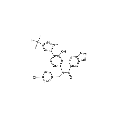 Cn1nc(C(F)(F)F)cc1-c1ccc(N(Cc2ccc(Cl)cc2)C(=O)c2ccc3nccn3c2)cc1O